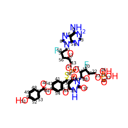 Nc1ncnc2c1ncn2[C@@H]1OC(CO[P@@](=O)(O[C@@H]2[C@H](F)C(COP(=O)(O)O)O[C@H]2n2ccc(=O)[nH]c2=O)SCc2ccc(OC(=O)c3ccc(O)cc3)cc2)C[C@H]1F